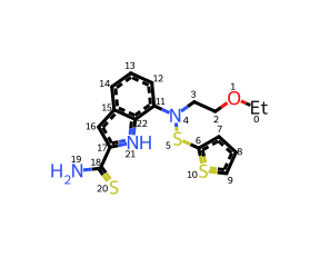 CCOCCN(Sc1cccs1)c1cccc2cc(C(N)=S)[nH]c12